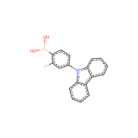 OB(O)c1ccc(-n2c3ccccc3c3ccccc32)cc1F